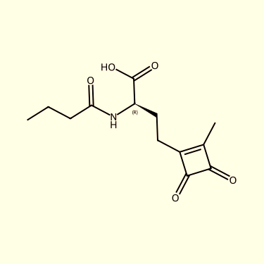 CCCC(=O)N[C@H](CCc1c(C)c(=O)c1=O)C(=O)O